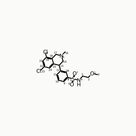 COCCNS(=O)(=O)c1cccc(C2CN(C)Cc3c(Cl)cc(Cl)cc32)c1